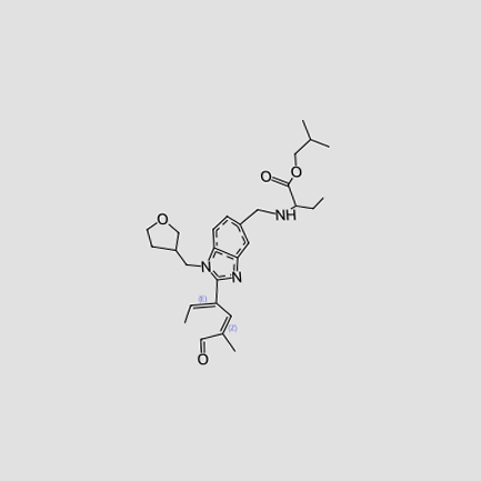 C/C=C(\C=C(\C)C=O)c1nc2cc(CNC(CC)C(=O)OCC(C)C)ccc2n1CC1CCOC1